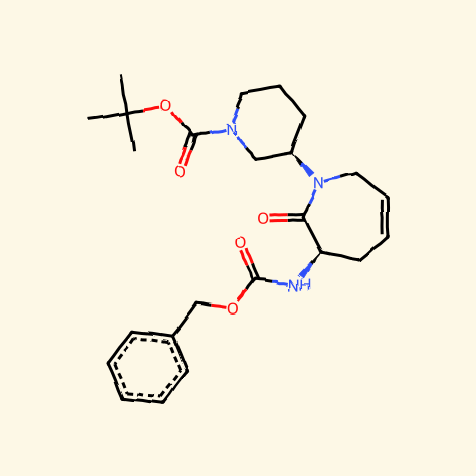 CC(C)(C)OC(=O)N1CCC[C@@H](N2CC=CC[C@@H](NC(=O)OCc3ccccc3)C2=O)C1